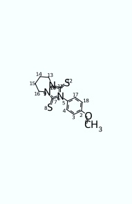 COc1ccc(-n2c(=S)n3n(c2=S)CCCC3)cc1